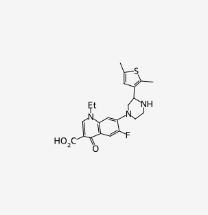 CCn1cc(C(=O)O)c(=O)c2cc(F)c(N3CCNC(c4cc(C)sc4C)C3)cc21